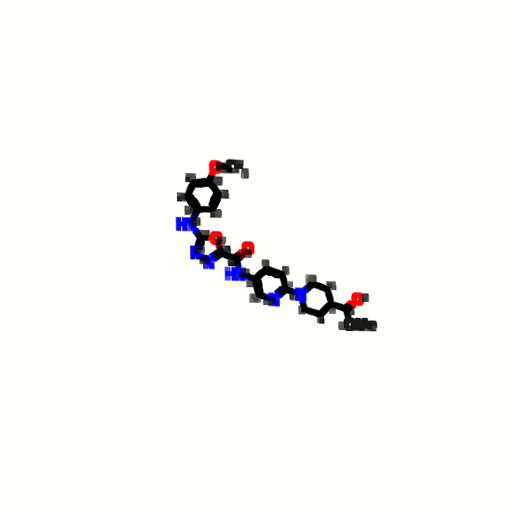 COC(=O)C1CCN(c2ccc(NC(=O)c3nnc(Nc4ccc(OC(F)(F)F)cc4)o3)cn2)CC1